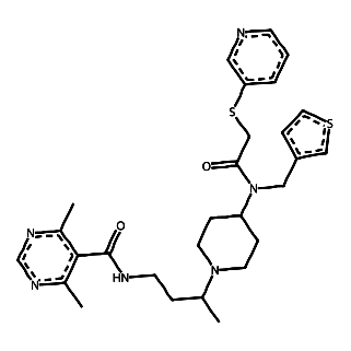 Cc1ncnc(C)c1C(=O)NCCC(C)N1CCC(N(Cc2ccsc2)C(=O)CSc2cccnc2)CC1